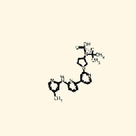 Cc1ccnc(Nc2cccc(-c3ccnc(N4CCC(N(C(=O)O)C(C)(C)C)C4)c3)n2)c1